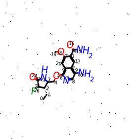 CC[C@H]1C(COc2ncc(N)c3cc(C(N)=O)c(OC)cc23)NC(=O)C1F